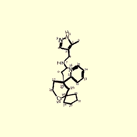 Cc1[nH]ncc1CNCC[C@]1(c2ccccn2)CCOC2(CCCC2)C1